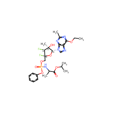 CCOc1nc(C)nc2c1ncn2[C@@H]1O[C@](F)(COP(=O)(NC(C)C(=O)OC(C)C)Oc2ccccc2)[C@@H](F)[C@@]1(C)O